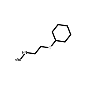 CCCCNCCOC1CCCCC1